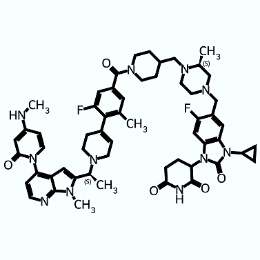 CNc1ccn(-c2ccnc3c2cc([C@H](C)N2CC=C(c4c(C)cc(C(=O)N5CCC(CN6CCN(Cc7cc8c(cc7F)n(C7CCC(=O)NC7=O)c(=O)n8C7CC7)C[C@@H]6C)CC5)cc4F)CC2)n3C)c(=O)c1